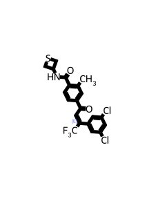 Cc1cc(C(=O)/C=C(\c2cc(Cl)cc(Cl)c2)C(F)(F)F)ccc1C(=O)NC1CSC1